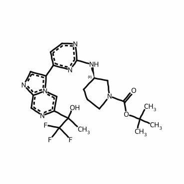 CC(C)(C)OC(=O)N1CCC[C@@H](Nc2nccc(-c3cnc4cnc(C(C)(O)C(F)(F)F)cn34)n2)C1